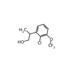 [CH2]C(CO)c1cccc(OC(F)(F)F)c1Cl